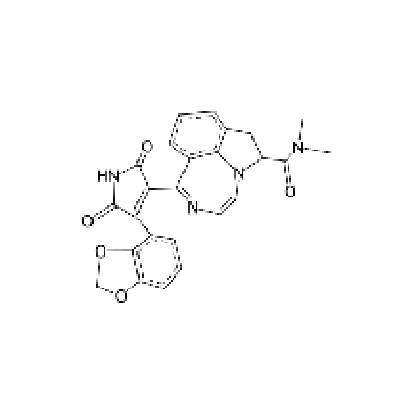 CN(C)C(=O)C1Cc2cccc3c2N1C=CN=C3C1=C(c2cccc3c2OCO3)C(=O)NC1=O